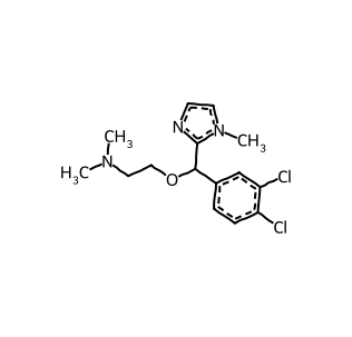 CN(C)CCOC(c1ccc(Cl)c(Cl)c1)c1nccn1C